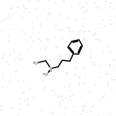 C[SiH](CN)CCCc1ccccc1